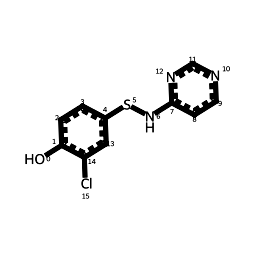 Oc1ccc(SNc2ccncn2)cc1Cl